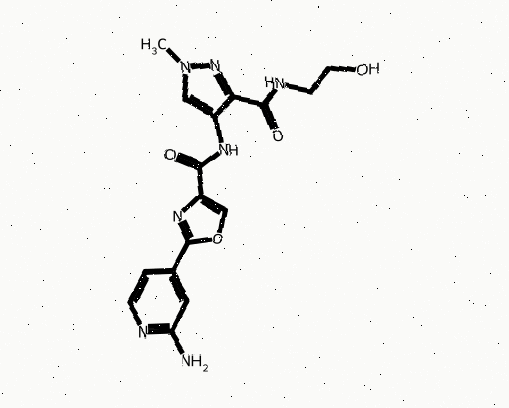 Cn1cc(NC(=O)c2coc(-c3ccnc(N)c3)n2)c(C(=O)NCCO)n1